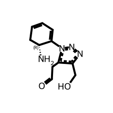 N[C@@H]1CC=CC=C1n1nnc(CO)c1CC=O